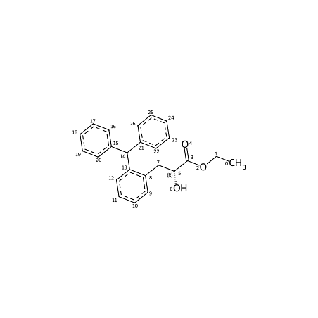 CCOC(=O)[C@H](O)Cc1ccccc1C(c1ccccc1)c1ccccc1